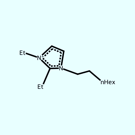 CCCCCCCCn1cc[n+](CC)c1CC